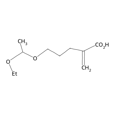 C=C(CCCOC(C)OCC)C(=O)O